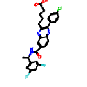 CC(NC(=O)c1ccc2nc(-c3ccc(Cl)cc3)c(CCCCC(=O)O)nc2c1)c1cc(F)cc(F)c1